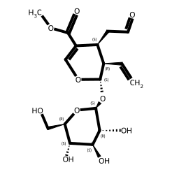 C=C[C@H]1[C@H](O[C@@H]2O[C@H](CO)[C@@H](O)[C@H](O)[C@H]2O)OC=C(C(=O)OC)[C@H]1CC=O